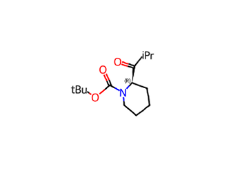 CC(C)C(=O)[C@H]1CCCCN1C(=O)OC(C)(C)C